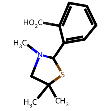 CN1CC(C)(C)SC1c1ccccc1C(=O)O